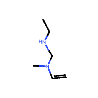 C=CN(C)CNCC